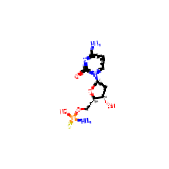 Nc1ccn([C@H]2C[C@H](O)[C@@H](COP(N)(O)=S)O2)c(=O)n1